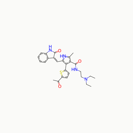 CCN(CC)CCNC(=O)c1c(C)[nH]c(C=C2C(=O)Nc3ccccc32)c1-c1ccc(C(C)=O)s1